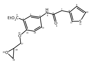 CCOC(=O)c1cc(NC(=O)Cc2ccsc2)ccc1OCC1CO1